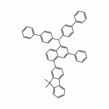 CC1(C)c2ccccc2-c2ccc(-c3cccc4c(N(c5ccc(-c6ccccc6)cc5)c5ccc(-c6ccccc6)cc5)cc(-c5ccccc5)cc34)cc21